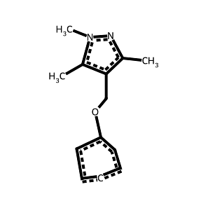 Cc1nn(C)c(C)c1COc1cc[c]cc1